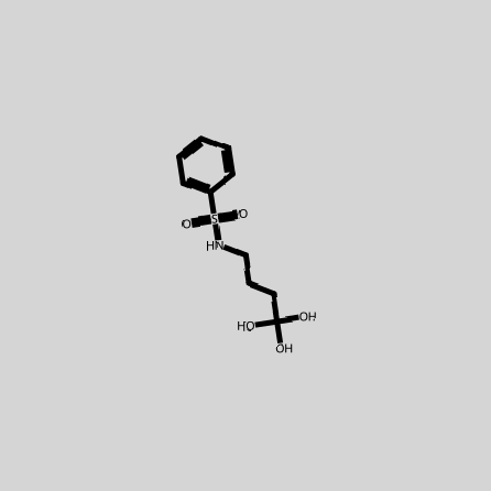 O=S(=O)(NCCCC(O)(O)O)c1ccccc1